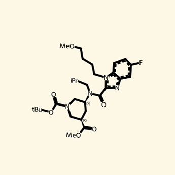 COCCCCn1c(C(=O)N(CC(C)C)[C@H]2C[C@@H](C(=O)OC)CN(C(=O)OC(C)(C)C)C2)nc2cc(F)ccc21